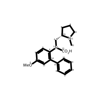 COc1ccc(N(C[C@@H]2CCCN2C)C(=O)O)c(-c2ccccc2)c1